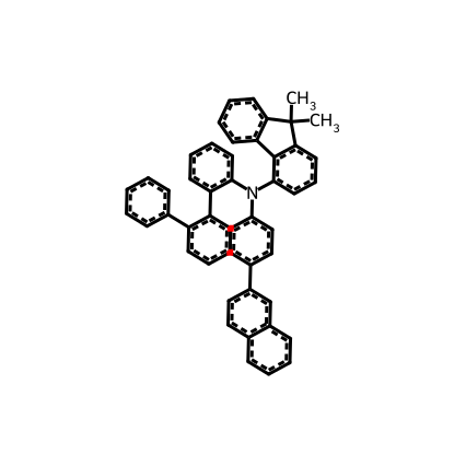 CC1(C)c2ccccc2-c2c(N(c3ccc(-c4ccc5ccccc5c4)cc3)c3ccccc3-c3ccccc3-c3ccccc3)cccc21